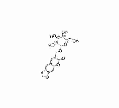 O=c1oc2cc3occc3cc2cc1COC1O[C@H](CO)[C@H](O)[C@H](O)[C@H]1O